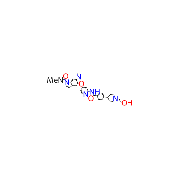 CNC(=O)n1ccc2cc(Oc3ccnc(NC(=O)c4ccc(C5CCN(CCO)CC5)cc4)c3)c(N(C)C)cc21